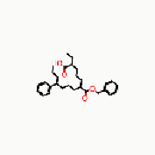 CCCC(CCCC(CCCC(CC)C(=O)O)C(=O)OCc1ccccc1)c1ccccc1